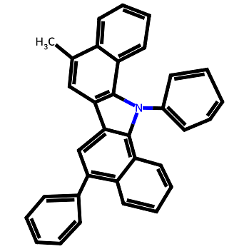 Cc1cc2c3cc(-c4ccccc4)c4ccccc4c3n(-c3ccccc3)c2c2ccccc12